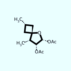 CC(=O)O[C@H]1O[C@]2(C[C@@H](C)C2)[C@@H](C)[C@H]1OC(C)=O